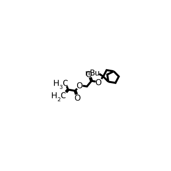 C=C(C)C(=O)OCC(=O)OC1(CCCC)CC2CCC1C2